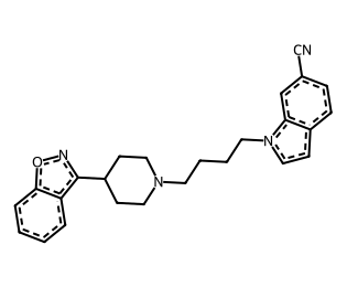 N#Cc1ccc2ccn(CCCCN3CCC(c4noc5ccccc45)CC3)c2c1